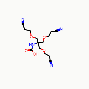 N#CCCOCC(COCCC#N)(COCCC#N)NC(=O)O